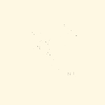 C=C(N)c1ccc(NC(=C)N2CCC=Nc3ccc(-c4cccc(C(C)(F)F)c4)nc32)cc1